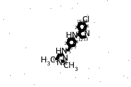 Cc1cc(NCc2ccc(Nc3ccnc4cc(Cl)ccc34)cc2)nc(C)n1